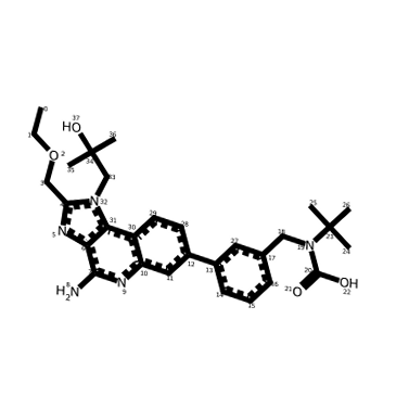 CCOCc1nc2c(N)nc3cc(-c4cccc(CN(C(=O)O)C(C)(C)C)c4)ccc3c2n1CC(C)(C)O